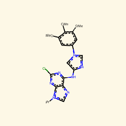 COc1cc(-n2cnc(Nc3nc(Cl)nc4c3ncn4C(C)C)c2)cc(OC)c1OC